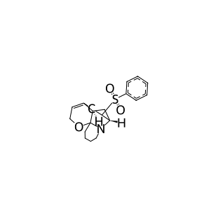 O=S(=O)(c1ccccc1)C1CC2=CCOC34CCCCN3[C@H]1C[C@H]24